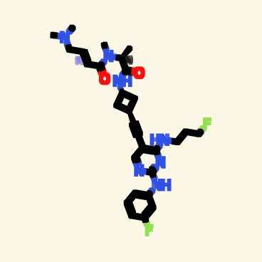 C[C@@H](C(=O)N[C@H]1C[C@@H](C#Cc2cnc(Nc3cccc(F)c3)nc2NCCCF)C1)N(C)C(=O)/C=C/CN(C)C